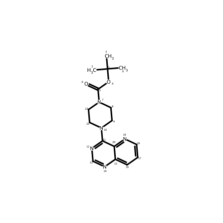 CC(C)(C)OC(=O)N1CCN(c2ncnc3cccnc23)CC1